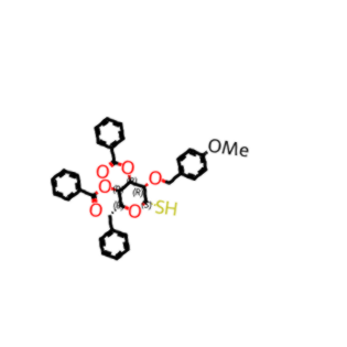 COc1ccc(CO[C@@H]2[C@H](OC(=O)c3ccccc3)[C@H](OC(=O)c3ccccc3)[C@@H](Cc3ccccc3)O[C@H]2S)cc1